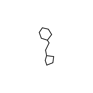 [CH](CC1CCCCC1)C1CCCC1